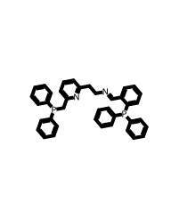 C(=NCCc1cccc(CP(c2ccccc2)c2ccccc2)n1)c1ccccc1P(c1ccccc1)c1ccccc1